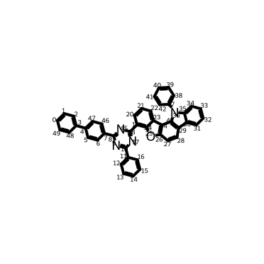 c1ccc(-c2ccc(-c3nc(-c4ccccc4)nc(-c4cccc5c4oc4ccc6c7ccccc7n(-c7ccccc7)c6c45)n3)cc2)cc1